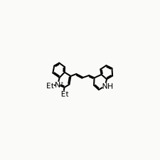 CCc1cc(C=CC=C2C=CNc3ccccc32)c2ccccc2[n+]1CC